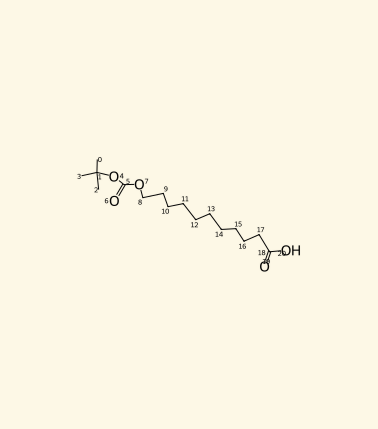 CC(C)(C)OC(=O)OCCCCCCCCCCC(=O)O